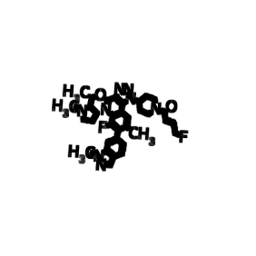 Cc1cc2c(nc(O[C@@H](C)C3CCCN3C)c3nnn(C4CCN(C(=O)/C=C/CF)CC4)c32)c(F)c1-c1ccc2cnn(C)c2c1